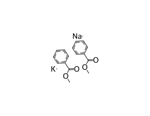 COC(=O)c1ccccc1.COC(=O)c1ccccc1.[K].[Na]